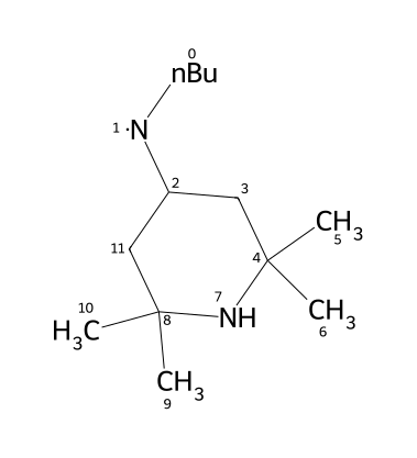 CCCC[N]C1CC(C)(C)NC(C)(C)C1